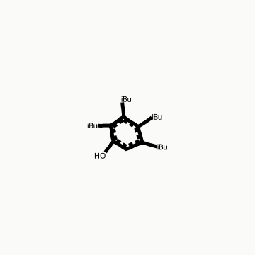 CCC(C)c1cc(O)c(C(C)CC)c(C(C)CC)c1C(C)CC